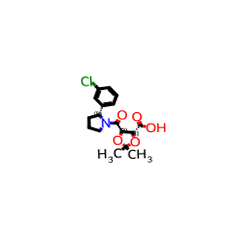 CC1(C)O[C@@H](C(=O)O)[C@H](C(=O)N2CCC[C@@H]2c2cccc(Cl)c2)O1